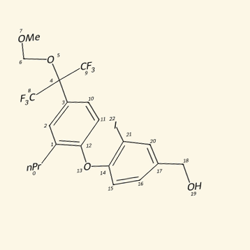 CCCc1cc(C(OCOC)(C(F)(F)F)C(F)(F)F)ccc1Oc1ccc(CO)cc1I